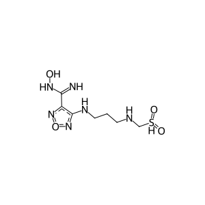 N=C(NO)c1nonc1NCCCNC[SH](=O)=O